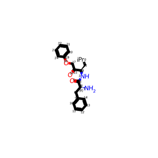 CC(C)C[C@@H](NC(=O)[C@H](N)Cc1ccccc1)C(=O)COc1ccccc1